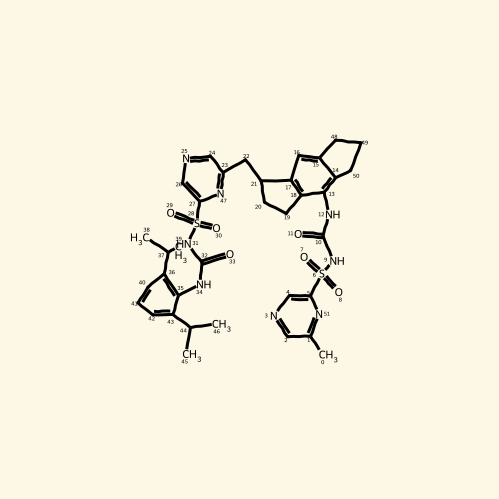 Cc1cncc(S(=O)(=O)NC(=O)Nc2c3c(cc4c2CCC4Cc2cncc(S(=O)(=O)NC(=O)Nc4c(C(C)C)cccc4C(C)C)n2)CCC3)n1